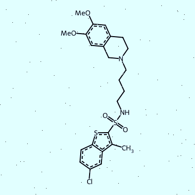 COc1cc2c(cc1OC)CN(CCCCNS(=O)(=O)c1sc3ccc(Cl)cc3c1C)CC2